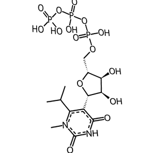 CC(C)c1c([C@@H]2O[C@H](COP(=O)(O)OP(=O)(O)OP(=O)(O)O)[C@@H](O)[C@H]2O)c(=O)[nH]c(=O)n1C